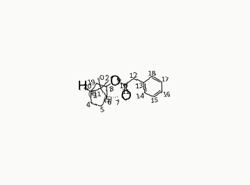 CC1(C)[C@@H]2CC[C@]1(C)C(OC(=O)Cc1ccccc1)C2